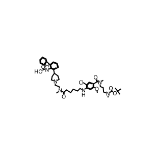 COc1cc(NCCCCCC(=O)N(C)CCN2CCC(c3cccc(-c4ccccc4)c3NC(=O)O)CC2)c(Cl)cc1C(=O)N(C)CCCN(C)C(=O)OC(C)(C)C